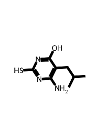 CC(C)Cc1c(N)nc(S)nc1O